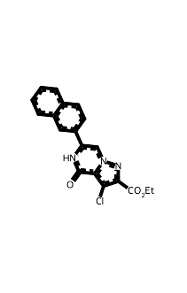 CCOC(=O)c1nn2cc(-c3ccc4ccccc4c3)[nH]c(=O)c2c1Cl